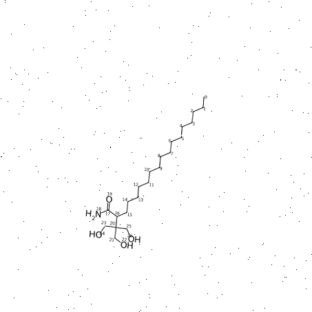 CCCCCCCCCCCCCCCCC(C(N)=O)C(CO)(CO)CO